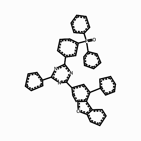 O=P(c1ccccc1)(c1ccccc1)c1cccc(-c2nc(-c3ccccc3)nc(-c3cc(-c4ccccc4)c4c(c3)oc3ccccc34)n2)c1